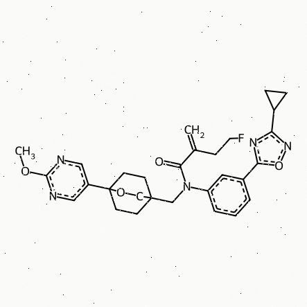 C=C(CCF)C(=O)N(CC12CCC(c3cnc(OC)nc3)(CC1)OC2)c1cccc(-c2nc(C3CC3)no2)c1